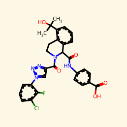 CC(C)(O)c1cccc2c1CCN(C(=O)c1cn(-c3cccc(Cl)c3F)nn1)C2C(=O)Nc1ccc(C(=O)O)cc1